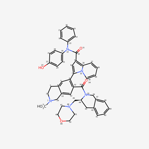 O=C(O)N1CCc2cc(-c3cc(C(=O)N(c4ccccc4)c4ccc(O)cc4)c4ccccn34)c(C(=O)N3Cc4ccccc4C[C@H]3CN3CCOCC3)cc2C1